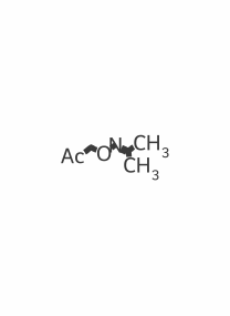 CC(=O)CON=C(C)C